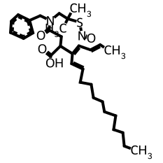 CC=CC=C(C=CCCCCCCCCCC)C(CC(=O)N(Cc1ccccc1)CC(C)(C)SN=O)C(=O)O